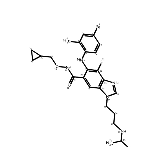 Cc1cc(Br)ccc1Nc1c(C(=O)NOCC2CC2)cc2c(ncn2CCCNC(C)C)c1F